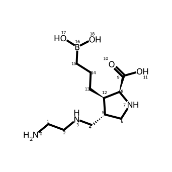 NCCNC[C@H]1CN[C@H](C(=O)O)[C@@H]1CCCB(O)O